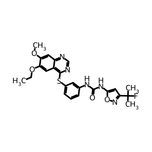 CCOc1cc2c(Sc3cccc(NC(=O)Nc4cc(C(C)(C)F)no4)c3)ncnc2cc1OC